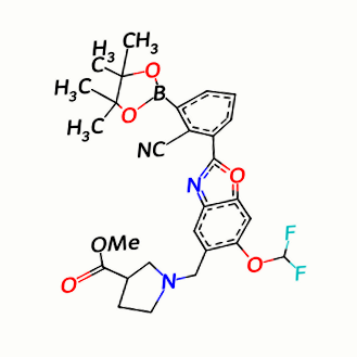 COC(=O)C1CCN(Cc2cc3nc(-c4cccc(B5OC(C)(C)C(C)(C)O5)c4C#N)oc3cc2OC(F)F)C1